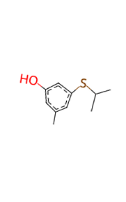 Cc1cc(O)cc(SC(C)C)c1